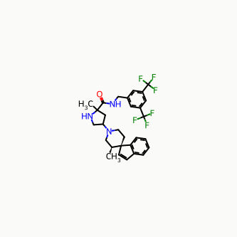 C[C@H]1CN(C2CNC(C)(C(=O)NCc3cc(C(F)(F)F)cc(C(F)(F)F)c3)C2)CC[C@@]12C=Cc1ccccc12